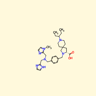 CCC(CC)N1CCC2(CC1)C[C@H](C(=O)O)N(Cc1ccc(CN(Cc3ncc[nH]3)Cc3nccn3C)cc1)C2